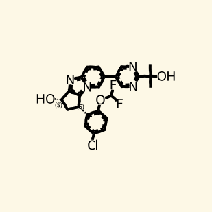 CC(C)(O)c1ncc(-c2ccc3nc4c(n3c2)[C@H](c2cc(Cl)ccc2OC(F)F)C[C@@H]4O)cn1